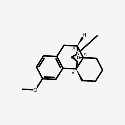 COc1ccc2c(c1)[C@@]13CCCC[C@@]1(O)[C@@H](C2)N(C)CC3